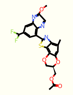 COc1cnc2c(-c3nc4c(C)cc5c(c4s3)OC[C@H](COC(C)=O)O5)cc(C(F)F)cc2n1